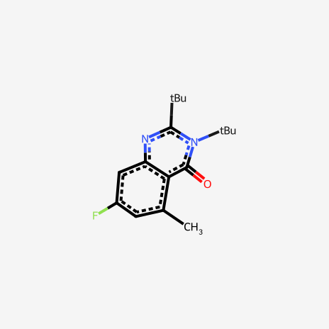 Cc1cc(F)cc2nc(C(C)(C)C)n(C(C)(C)C)c(=O)c12